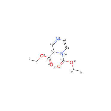 CCOC(=O)C1C=NC=CN1C(=O)OCC